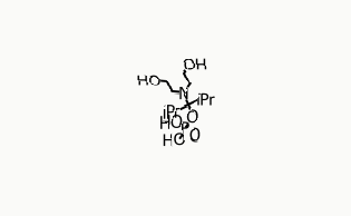 CC(C)C(OP(=O)(O)O)(C(C)C)N(CCO)CCO